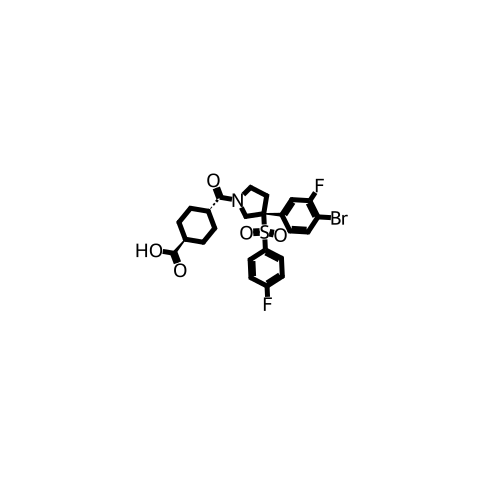 O=C(O)[C@H]1CC[C@H](C(=O)N2CC[C@](c3ccc(Br)c(F)c3)(S(=O)(=O)c3ccc(F)cc3)C2)CC1